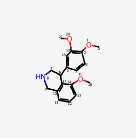 COc1ccc(C2CNCc3cccc(OC)c32)cc1OC